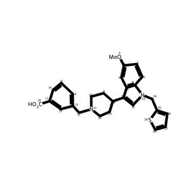 COc1ccc2c(c1)c(C1CCN(Cc3cccc(C(=O)O)c3)CC1)cn2Cc1cccs1